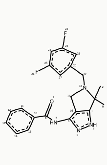 CC1(C)c2[nH]nc(NC(=O)c3ccccc3)c2CN1Cc1cc(F)cc(F)c1